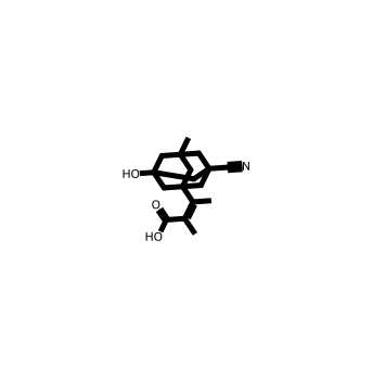 CC(C(=O)O)=C(C)C12CC3(C)CC(O)(CC(C#N)(C3)C1)C2